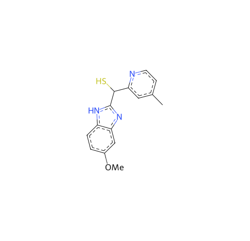 COc1ccc2[nH]c(C(S)c3cc(C)ccn3)nc2c1